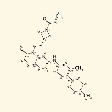 C=CC(=O)N1CC(CCn2c(=O)ccc3cnc(Nc4ccc(N5CCN(C)CC5)c(C)c4)nc32)C1